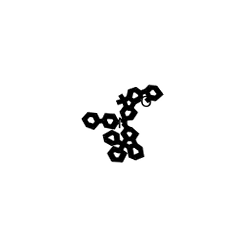 CC1(C)C2=C(C=CC(N(c3ccc(C4=CCCC=C4)cc3)c3ccc4c(c3)C(C3=CCCC=C3)(c3ccccc3)c3ccccc3-4)C2)c2c1ccc1c2oc2ccccc21